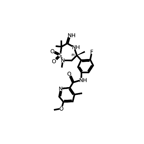 COc1cnc(C(=O)Nc2ccc(F)c([C@]3(C)CN(C)S(=O)(=O)C(C)(C)C(=N)N3)c2)c(C)c1